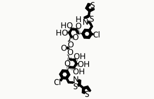 O=C(OC[C@H]1O[C@@H](c2ccc(Cl)c(Cc3ncc(-c4ccsc4)s3)c2)[C@H](O)[C@H](O)[C@H]1O)OC[C@H]1O[C@@H](c2ccc(Cl)c(Cc3ncc(-c4ccsc4)s3)c2)[C@H](O)[C@H](O)[C@H]1O